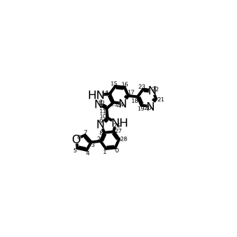 c1cc(-c2ccoc2)c2nc(-c3n[nH]c4ccc(-c5cncnc5)nc34)[nH]c2c1